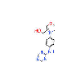 OC[C@H]1COCCN1c1ccc(Nc2ncncn2)cc1